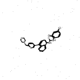 O=C(Nc1ccc(Cl)cc1Cl)Nc1ccc(-c2ccc(CN3CCOCC3)nc2)c2ccccc12